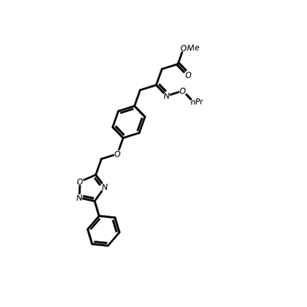 CCCON=C(CC(=O)OC)Cc1ccc(OCc2nc(-c3ccccc3)no2)cc1